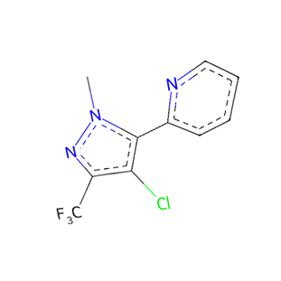 Cn1nc(C(F)(F)F)c(Cl)c1-c1ccccn1